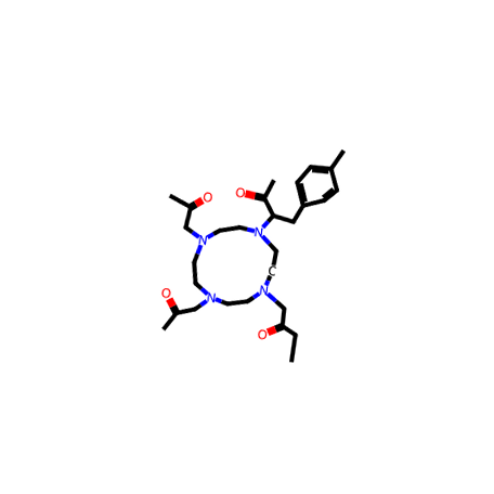 CCC(=O)CN1CCN(CC(C)=O)CCN(CC(C)=O)CCN(C(Cc2ccc(C)cc2)C(C)=O)CC1